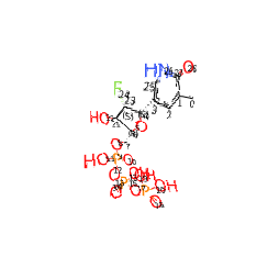 Cc1cc([C@@H]2O[C@H](COP(=O)(O)OP(=O)(O)OP(=O)(O)O)C(O)[C@@H]2F)c[nH]c1=O